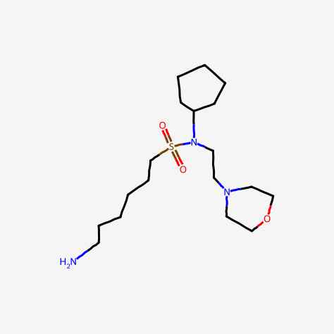 NCCCCCCS(=O)(=O)N(CCN1CCOCC1)C1CCCCC1